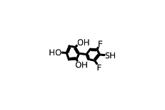 Oc1cc(O)c(-c2cc(F)c(S)c(F)c2)c(O)c1